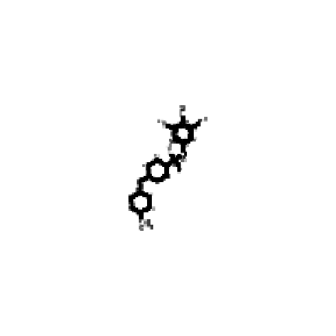 CC1CCC(CC2CCC(C(F)(F)Oc3cc(F)c(F)c(F)c3)CC2)CC1